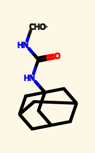 O=[C]NC(=O)NC12CC3CC(CC(C3)C1)C2